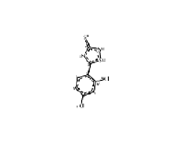 S=c1nc(-c2ccc(Cl)cc2Cl)ss1